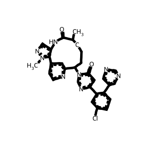 CC1CCCC(n2cnc(-c3cc(Cl)ccc3-c3cncnc3)cc2=O)c2cc(ccn2)-c2c(cnn2C)NC1=O